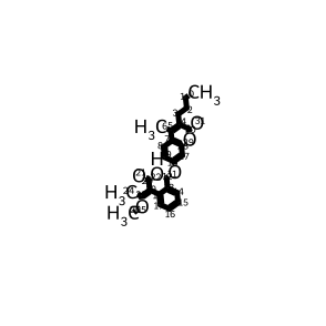 CCCCc1c(C)c2ccc(OCc3ccccc3C(C(=O)O)=C(C)OC)cc2oc1=O